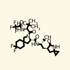 C#C[C@H](C[C@@H]1CC2(CC2)NC1=O)NC(=O)[C@@H]1CC2(CCC(F)(F)CC2)CN1C(=O)[C@@H](NC(=O)C(F)(F)F)C(C)(C)C